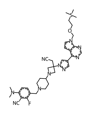 CN(C)c1ccc(CN2CCC(N3CC(CC#N)(n4cc(-c5ncnc6c5ccn6COCCS(C)(C)C)cn4)C3)CC2)c(F)c1C#N